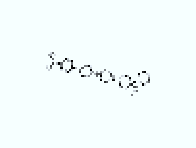 COC(=O)c1ccc(-c2ccc(N3CCN([C@H]4CC[C@@](OC)(C5CCCCC5)CC4)CC3)cc2)cc1